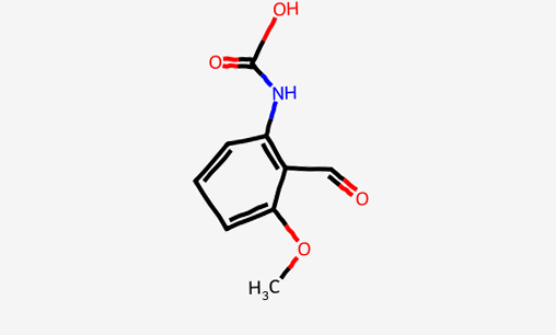 COc1cccc(NC(=O)O)c1C=O